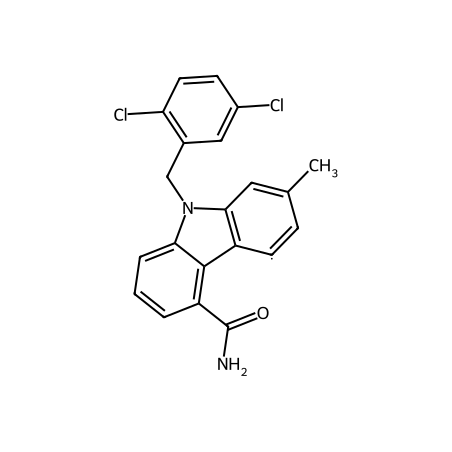 Cc1c[c]c2c3c(C(N)=O)cccc3n(Cc3cc(Cl)ccc3Cl)c2c1